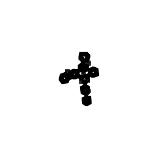 c1ccc(-c2ccc(-c3nc(-c4ccccc4)nc(-c4cc5c(cc4-c4ccc6oc7ccccc7c6c4)oc4ccccc45)n3)cc2)cc1